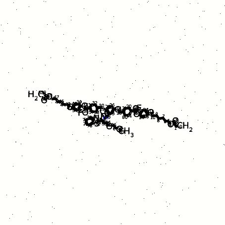 C=CC(=O)OCCCCCCOc1ccc(OC(=O)C2CCC(COc3ccc(OCC4CCC(C(=O)Oc5ccc(OCCCCCCOC(=O)C=C)cc5F)CC4)c(/C=N/N(CCOCCOC)c4nc5ccccc5s4)c3)CC2)c(F)c1